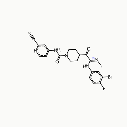 N#Cc1cc(NC(=O)N2CCC(C(=O)/C(=N/I)Nc3ccc(F)c(Br)c3)CC2)ccn1